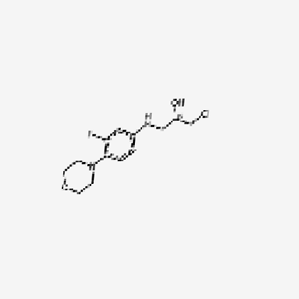 O[C@H](CCl)CNc1ccc(N2CCOCC2)c(F)c1